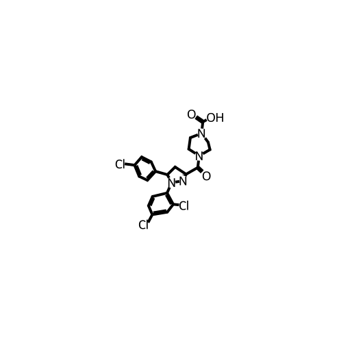 O=C(O)N1CCN(C(=O)C2=NN(c3ccc(Cl)cc3Cl)C(c3ccc(Cl)cc3)C2)CC1